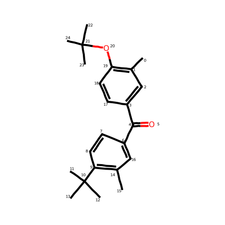 Cc1cc(C(=O)c2ccc(C(C)(C)C)c(C)c2)ccc1OC(C)(C)C